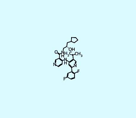 C=C(C)c1cnc(-c2cc(F)ccc2F)cc1Nc1ccncc1C(=O)NC[C@@H](O)CC1CCCC1